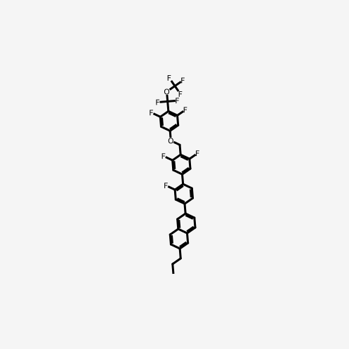 CCCc1ccc2cc(-c3ccc(-c4cc(F)c(COc5cc(F)c(C(F)(F)OC(F)(F)F)c(F)c5)c(F)c4)c(F)c3)ccc2c1